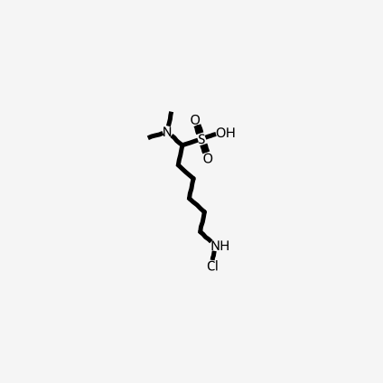 CN(C)C(CCCCCNCl)S(=O)(=O)O